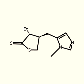 CC[C@H]1C(=S)SC[C@@H]1Cc1cncn1C